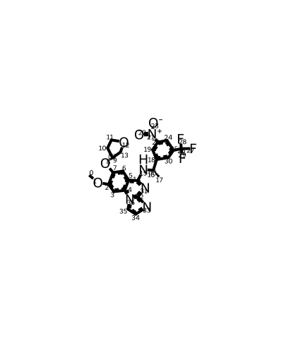 COc1cc2c(cc1O[C@H]1CCOC1)c(N[C@H](C)c1cc([N+](=O)[O-])cc(C(F)(F)F)c1)nc1nccn12